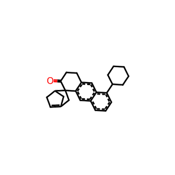 O=C1CCc2cc3c(C4CCCCC4)cccc3cc2C12CC1=CCC2C1